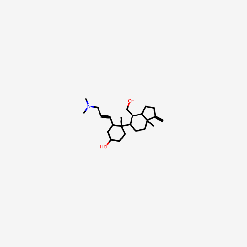 C=C1CCC2C(CO)C(C3(C)CCC(O)CC3C=CCN(C)C)CCC12C